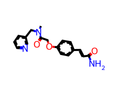 CN(Cc1cccnc1)C(=O)COc1ccc(/C=C/C(N)=O)cc1